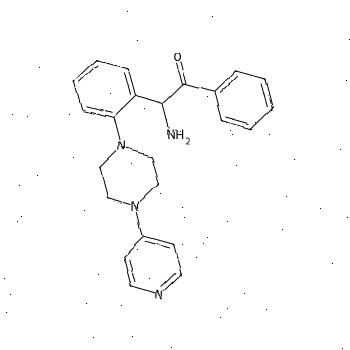 NC(C(=O)c1ccccc1)c1ccccc1N1CCN(c2ccncc2)CC1